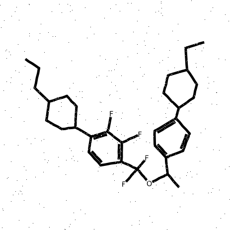 CCCC1CCC(c2ccc(C(F)(F)OC(C)c3ccc(C4CCC(CC)CC4)cc3)c(F)c2F)CC1